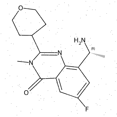 C[C@@H](N)c1cc(F)cc2c(=O)n(C)c(C3CCOCC3)nc12